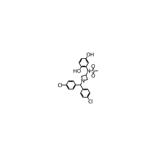 CS(=O)(=O)N(c1cc(O)ccc1O)C1CN(C(c2ccc(Cl)cc2)c2ccc(Cl)cc2)C1